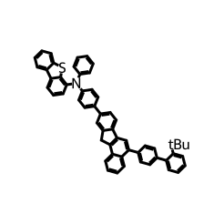 CC(C)(C)c1ccccc1-c1ccc(-c2cc3c(c4ccccc24)Cc2cc(-c4ccc(N(c5ccccc5)c5cccc6c5sc5ccccc56)cc4)ccc2-3)cc1